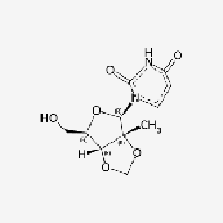 C[C@@]12OCO[C@@H]1[C@@H](CO)O[C@H]2n1ccc(=O)[nH]c1=O